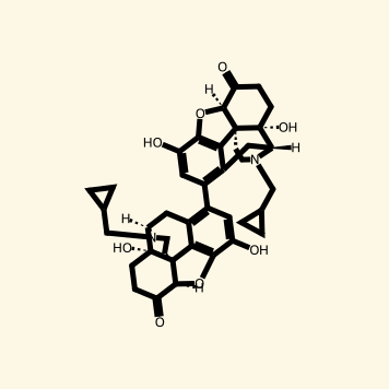 O=C1CC[C@@]2(O)[C@H]3Cc4c(-c5cc(O)c6c7c5C[C@H]5N(CC8CC8)CC[C@@]78[C@@H](O6)C(=O)CC[C@@]58O)cc(O)c5c4[C@@]2(CCN3CC2CC2)[C@H]1O5